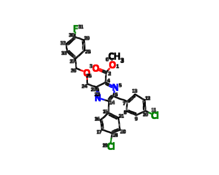 COC(=O)c1nc(-c2ccc(Cl)cc2)c(-c2ccc(Cl)cc2)nc1COCc1ccc(F)cc1